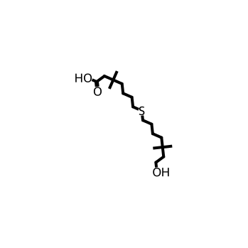 CC(C)(CCO)CCCCSCCCCC(C)(C)CC(=O)O